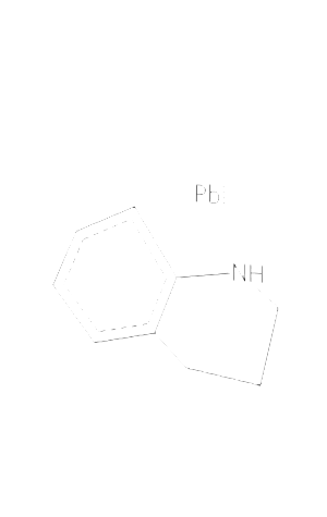 [Pb].c1ccc2c(c1)CCCN2